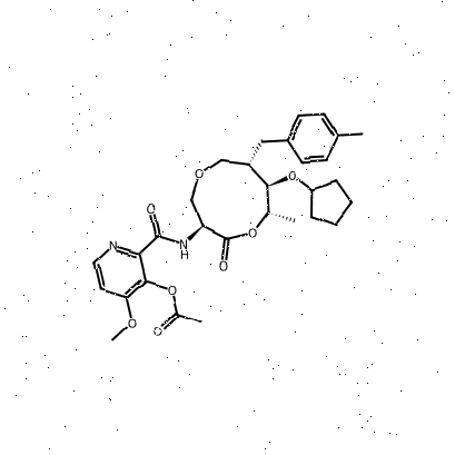 COc1ccnc(C(=O)N[C@H]2COC[C@H](Cc3ccc(C)cc3)[C@@H](OC3CCCC3)[C@H](C)OC2=O)c1OC(C)=O